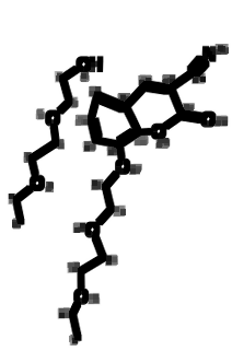 CCOCCOCCO.CCOCCOCCOc1cccc2cc(C#N)c(=O)oc12